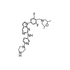 CC1CN(Cc2c(F)cc(-n3ccc4cnc(Nc5ccc(N6CCNCC6)nc5)nc43)cc2F)CC(C)O1